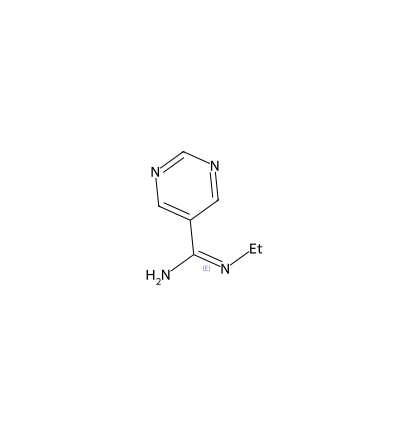 CC/N=C(/N)c1cncnc1